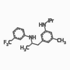 Cc1cc(CC(C)Nc2cccc(C(F)(F)F)c2)cc(NC(C)C)c1